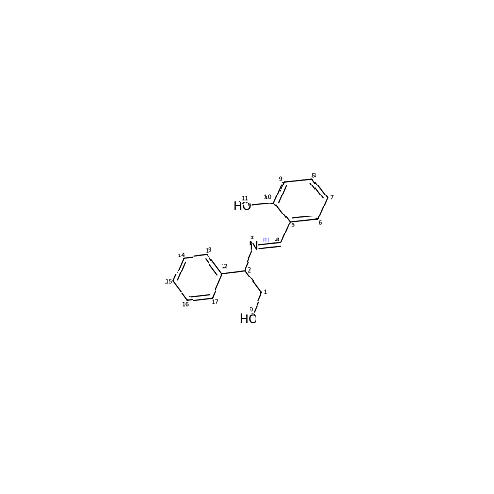 OCC(/N=C/c1ccccc1O)c1ccccc1